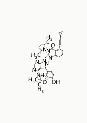 Cc1ccc(C)n1-n1c(Cn2nc(-c3ccc(O)c4c3CC(C)(C)O4)c3c(N)ncnc32)nc2cccc(C#CC3CC3)c2c1=O